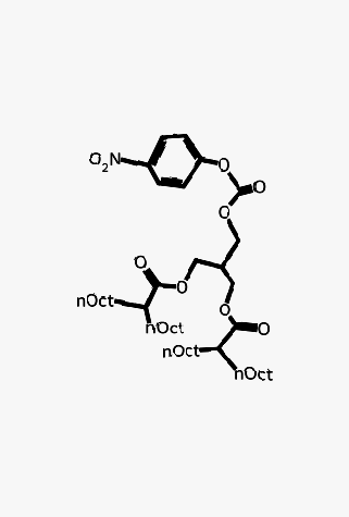 CCCCCCCCC(CCCCCCCC)C(=O)OCC(COC(=O)Oc1ccc([N+](=O)[O-])cc1)COC(=O)C(CCCCCCCC)CCCCCCCC